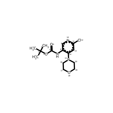 CC(C)(C)OC(=O)Nc1cnc(Cl)cc1N1CCOCC1